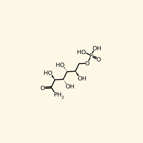 O=C(P)[C@@H](O)[C@@H](O)[C@H](O)[C@H](O)COP(=O)(O)O